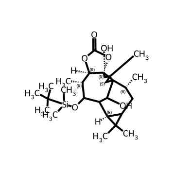 CC1=CC23C(O)C(C(O[Si](C)(C)C(C)(C)C)[C@H](C)[C@H]4OC(=O)O[C@]42[C@H]1O)[C@H]1C(C[C@H]3C)C1(C)C